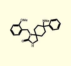 CNC1(c2ccccc2)CCC2(CC1)CNC(=O)N2Cc1ccccc1OC